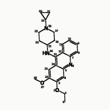 CCOc1cc2nc3ccccc3c(NC3CCN(C4CC4)CC3)c2cc1OC